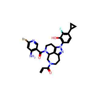 C=CC(=O)N1CCc2nn(-c3ccc(C4CC4)c(F)c3O)c3c2C(C1)N(C(=O)c1cnc(Br)cc1N)CC3